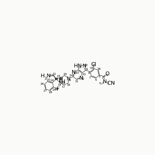 CN(C#N)C(=O)c1ccc(-c2n[nH]c3nc(N4CC[C@@H]5[C@H](C4)[C@@]5(CN)c4ccccc4F)cnc23)c(Cl)c1